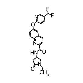 CCN1CC(NC(=O)c2ccc3cc(Oc4ccc(C(F)F)cn4)ccc3n2)CC1=O